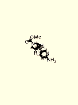 COC(=O)N1C[C@H]2[C@@H](C)C1CN2c1ccc(N)nc1